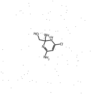 NC1=NC(N)(CO)NC(Cl)=C1